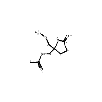 CC(=O)OCC1(COP)CCC(=O)O1